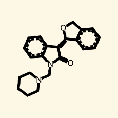 O=C1C(=C2OCc3ccccc32)c2ccccc2N1CN1CCCCC1